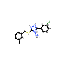 Cc1cccc(CSc2nnc(-c3cccc(Cl)c3)n2N)c1